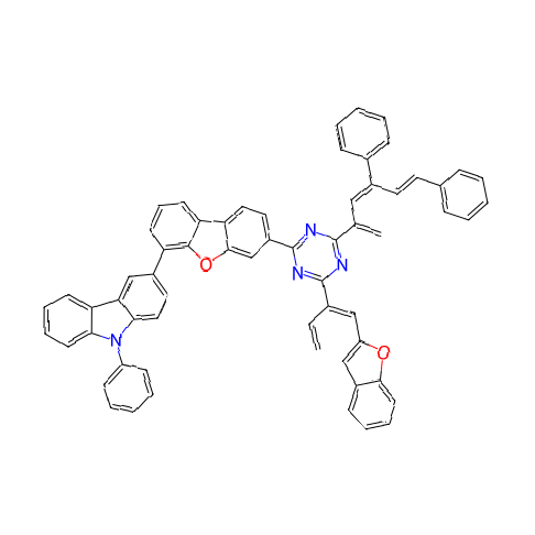 C=C/C(=C\c1cc2ccccc2o1)c1nc(C(=C)/C=C(\C=C\c2ccccc2)c2ccccc2)nc(-c2ccc3c(c2)oc2c(-c4ccc5c(c4)c4ccccc4n5-c4ccccc4)cccc23)n1